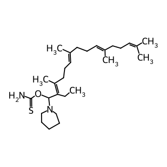 CC/C(=C(/C)CC/C=C(\C)CC/C=C(\C)CCC=C(C)C)C(OC(N)=S)N1CCCCC1